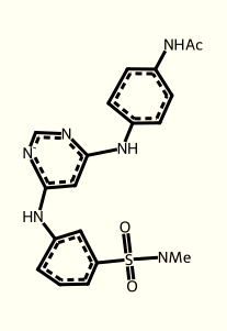 CNS(=O)(=O)c1cccc(Nc2cc(Nc3ccc(NC(C)=O)cc3)ncn2)c1